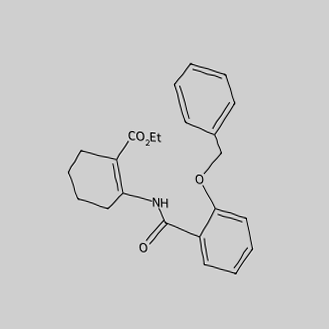 CCOC(=O)C1=C(NC(=O)c2ccccc2OCc2ccccc2)CCCC1